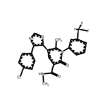 CNC(=O)c1cc(-c2ocnc2-c2ccc(Cl)cc2)c(C)n(-c2cccc(C(F)(F)F)c2)c1=O